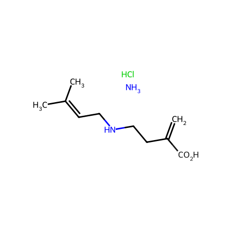 C=C(CCNCC=C(C)C)C(=O)O.Cl.N